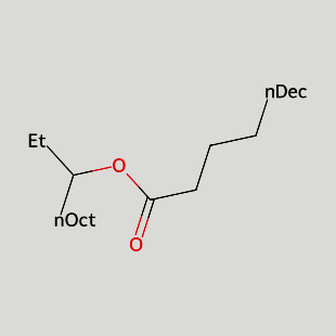 CCCCCCCCCCCCCC(=O)OC(CC)CCCCCCCC